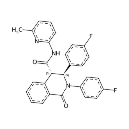 Cc1cccc(NC(=O)[C@H]2c3ccccc3C(=O)N(c3ccc(F)cc3)[C@@H]2c2ccc(F)cc2)n1